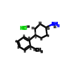 Cc1ccccc1C1CCC(N)CC1.Cl